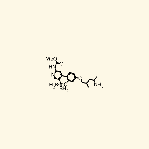 BC1(B)Oc2cc(OCC(C)CC(C)N)ccc2-c2cc(NC(=O)OC)ncc21